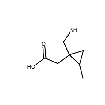 CC1CC1(CS)CC(=O)O